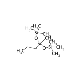 CC[CH][Si](C)(O[Si](C)(C)C)O[Si](C)(C)C